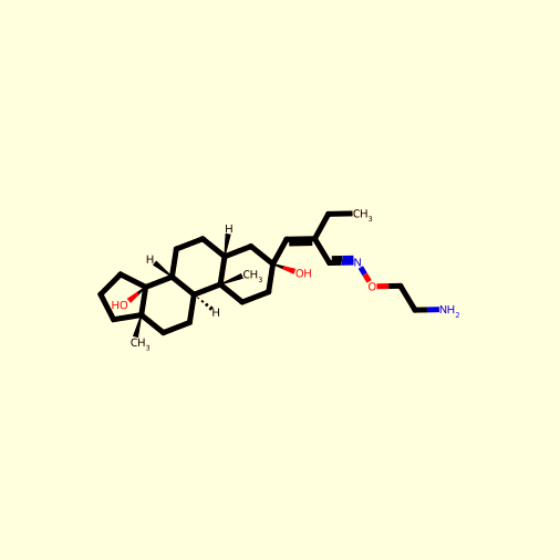 CCC(C=NOCCN)=C[C@]1(O)CC[C@@]2(C)[C@H](CC[C@@H]3[C@@H]2CC[C@]2(C)CCC[C@]32O)C1